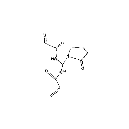 C=CC(=O)NC(NC(=O)C=C)N1CCCC1=O